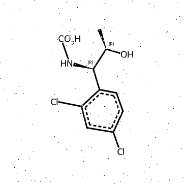 C[C@@H](O)[C@H](NC(=O)O)c1ccc(Cl)cc1Cl